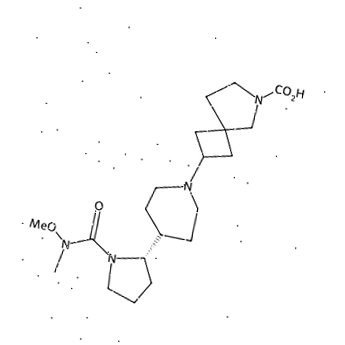 CON(C)C(=O)N1CCC[C@H]1C1CCN(C2CC3(CCN(C(=O)O)C3)C2)CC1